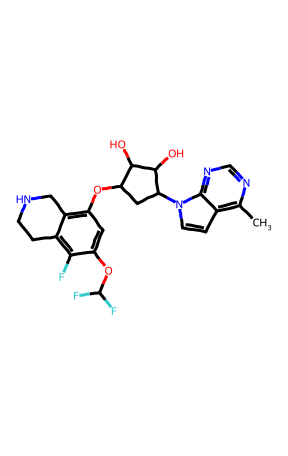 Cc1ncnc2c1ccn2C1CC(Oc2cc(OC(F)F)c(F)c3c2CNCC3)C(O)C1O